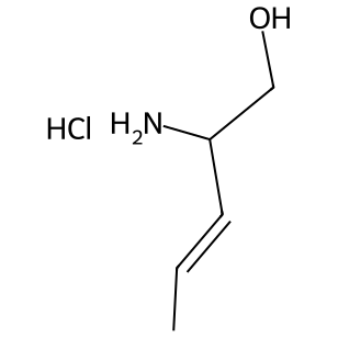 CC=CC(N)CO.Cl